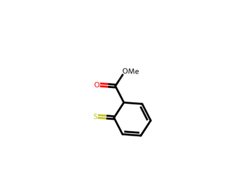 COC(=O)C1C=CC=CC1=S